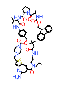 CCCN(CCCNC(=O)CC(C)(C)C)C(=O)C1=Cc2sc(CN3CCN(C(=O)OCc4ccc(NC(=O)C(NC(=O)[C@@H]5CCCN5C(=O)C(C)NC(=O)OCC5c6ccccc6-c6ccccc65)C(C)C)cc4)CC3)cc2N=C(N)C1